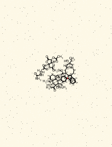 CC(=O)O[C@@H]1C(=O)O[C@@H]2[C@H]1OC(=O)[C@@H]2OC(C)=O.CC[C@]1(O)C[C@H]2CN(CCc3c([nH]c4ccccc34)[C@@](C(=O)OC)(c3cc4c(cc3OC)N(C)[C@H]3[C@@](O)(C(N)=O)[C@H](O)[C@]5(CC)C=CCN6CC[C@]43[C@@H]65)C2)C1.NC(=O)NO